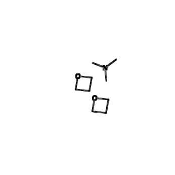 C1COC1.C1COC1.CN(C)C